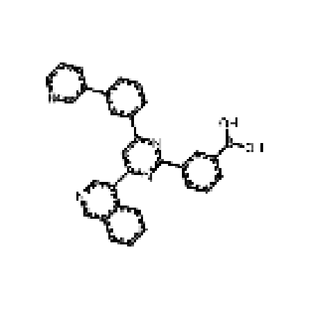 OB(O)c1cccc(-c2nc(-c3cccc(-c4cccnc4)c3)cc(-c3cncc4ccccc34)n2)c1